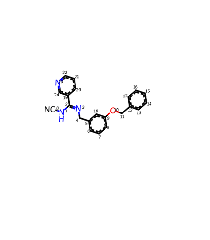 N#CN/C(=N\Cc1cccc(OCc2ccccc2)c1)c1cccnc1